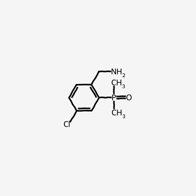 CP(C)(=O)c1cc(Cl)ccc1CN